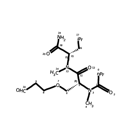 CCCC(=O)N(C)[C@H](COCCC=O)C(=O)N(C)[C@@H](CC(C)C)C(N)=O